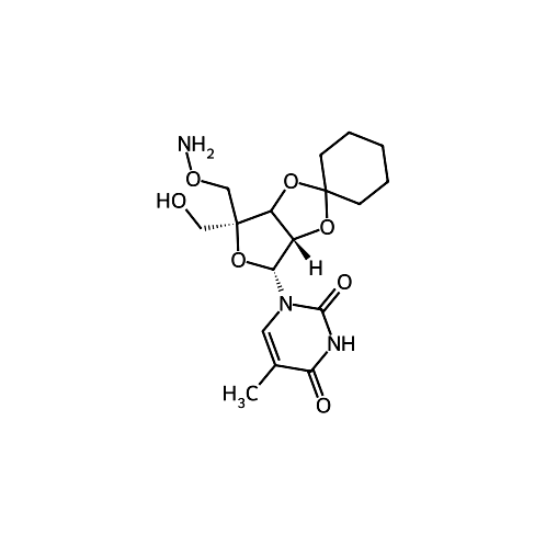 Cc1cn([C@@H]2O[C@@](CO)(CON)C3OC4(CCCCC4)O[C@@H]32)c(=O)[nH]c1=O